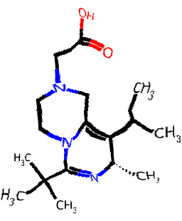 CC(C)C1=C2CN(CC(=O)O)CCN2C(C(C)(C)C)=N[C@H]1C